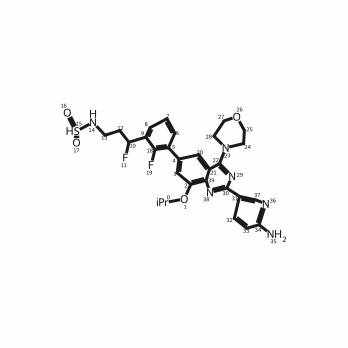 CC(C)Oc1cc(-c2cccc(C(F)CCN[SH](=O)=O)c2F)cc2c(N3CCOCC3)nc(-c3ccc(N)nc3)nc12